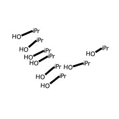 CC(C)O.CC(C)O.CC(C)O.CC(C)O.CC(C)O.CC(C)O.CC(C)O.CC(C)O